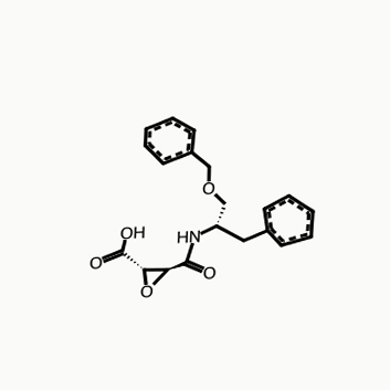 O=C(O)[C@H]1O[C@@H]1C(=O)N[C@H](COCc1ccccc1)Cc1ccccc1